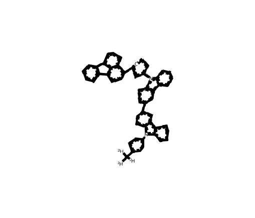 [2H]C([2H])([2H])c1ccc(-n2c3ccccc3c3cc(-c4ccc5c(c4)c4ccccc4n5-c4cccc(-c5ccc6c7c(cccc57)-c5ccccc5-6)c4)ccc32)cc1